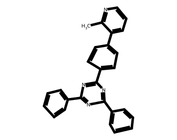 Cc1ncccc1-c1ccc(-c2nc(-c3ccccc3)nc(-c3ccccc3)n2)cc1